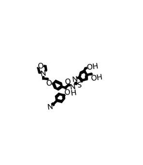 N#Cc1ccc(OC(C(=O)Nc2nc3cc(CO)c(CO)cc3s2)c2ccc(OCCN3CCOCC3)cc2)cc1